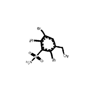 CC(C)c1c(Br)cc(CC#N)c(C(C)C)c1S(N)(=O)=O